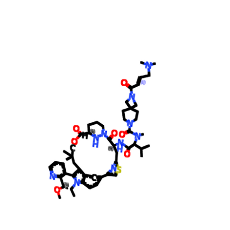 CCn1c(-c2cccnc2[C@H](C)OC)c2c3cc(ccc31)-c1csc(n1)C[C@H](NC(=O)C(C(C)C)N(C)C(=O)N1CCC3(CC1)CN(C(=O)/C=C/CN(C)C)C3)C(=O)N1CCC[C@H](N1)C(=O)OCC(C)(C)C2